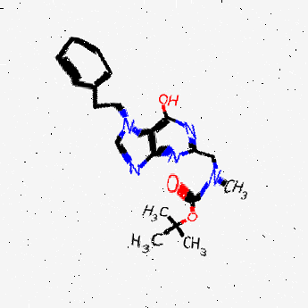 CN(Cc1nc(O)c2c(ncn2CCc2ccccc2)n1)C(=O)OC(C)(C)C